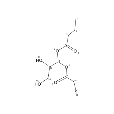 CCCC(=O)OC(OC(=O)C[S])C(O)CO